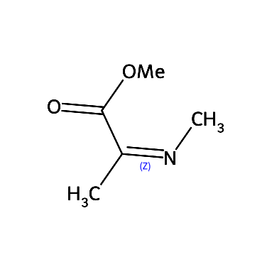 C/N=C(/C)C(=O)OC